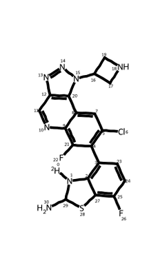 [2H]N1c2c(-c3c(Cl)cc4c(ncc5nnn(C6CNC6)c54)c3F)ccc(F)c2SC1N